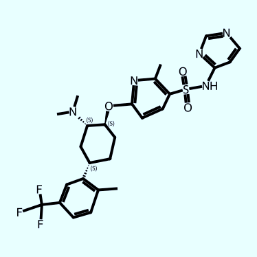 Cc1ccc(C(F)(F)F)cc1[C@H]1CC[C@H](Oc2ccc(S(=O)(=O)Nc3ccncn3)c(C)n2)[C@@H](N(C)C)C1